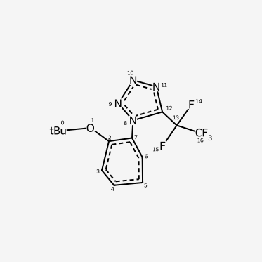 CC(C)(C)Oc1ccccc1-n1nnnc1C(F)(F)C(F)(F)F